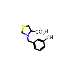 N#Cc1cccc(CN2CSCC2C(=O)O)c1